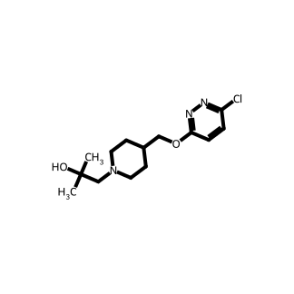 CC(C)(O)CN1CCC(COc2ccc(Cl)nn2)CC1